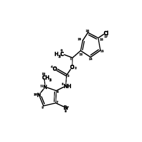 CC(OC(=O)Nc1c(Br)cnn1C)c1ccc(Cl)cc1